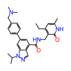 CCc1cc(C)[nH]c(=O)c1CNC(=O)c1cc(-c2ccc(CN(C)C)cc2)cc2c1cnn2C(C)C